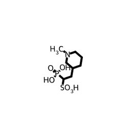 CN1CCCC(CC(P(=O)(O)O)S(=O)(=O)O)C1